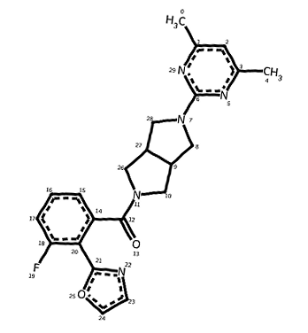 Cc1cc(C)nc(N2CC3CN(C(=O)c4cccc(F)c4-c4ncco4)CC3C2)n1